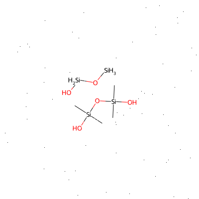 C[Si](C)(O)O[Si](C)(C)O.O[SiH2]O[SiH3]